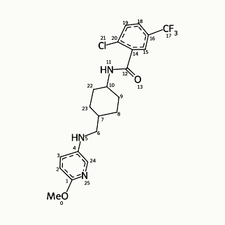 COc1ccc(NCC2CCC(NC(=O)c3cc(C(F)(F)F)ccc3Cl)CC2)cn1